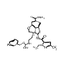 CCn1nc(C)cc1C(=O)Nc1nc2cc(C(N)=O)cc3c2n1[C@@H](CCNC(O)OCc1cccnc1)CO3